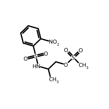 CC(COS(C)(=O)=O)NS(=O)(=O)c1ccccc1[N+](=O)[O-]